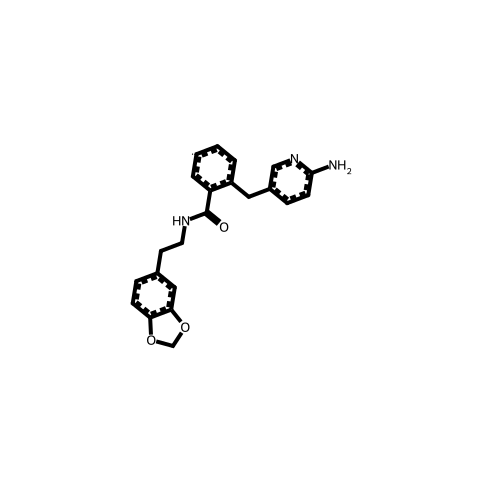 Nc1ccc(Cc2cc[c]cc2C(=O)NCCc2ccc3c(c2)OCO3)cn1